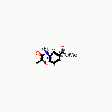 CCN1C(=O)C(C)Oc2ccc(C(=O)OC)cc21